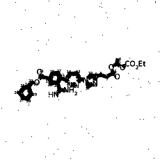 CCOC(=O)OC(C)OC(=O)CCc1cn(-c2ccc(-c3ccc(C(=O)OCc4ccccc4)cc3C(=N)N)nn2)cn1